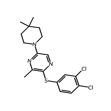 Cc1nc(N2CCC(C)(C)CC2)cnc1Sc1ccc(Cl)c(Cl)c1